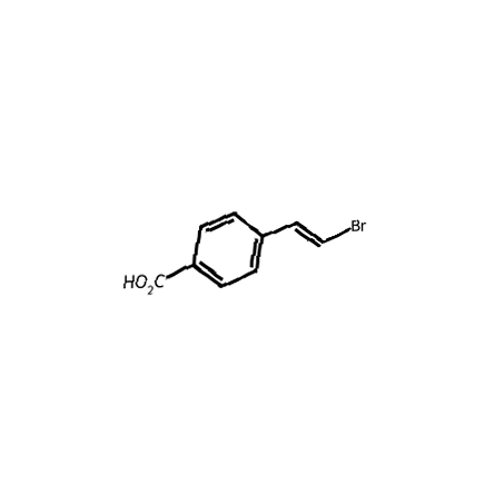 O=C(O)c1ccc(C=CBr)cc1